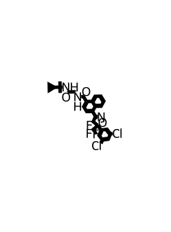 CC(C)(NC(=O)CNC(=O)c1ccc(C2=NOC(c3cc(Cl)cc(Cl)c3)(C(F)(F)F)C2)c2ccccc12)C1CC1